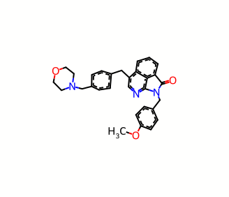 COc1ccc(CN2C(=O)c3cccc4c(Cc5ccc(CN6CCOCC6)cc5)cnc2c34)cc1